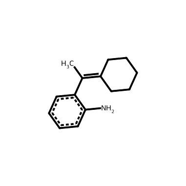 CC(=C1CCCCC1)c1ccccc1N